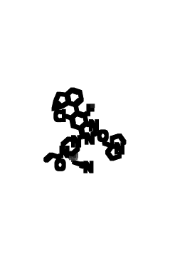 C=CC(=O)N1CCN(c2nc(OCC34CCCN3CCC4)nc3c(F)c(-c4cccc5c4C4CC4C5)c(Cl)cc23)C[C@@H]1CC#N